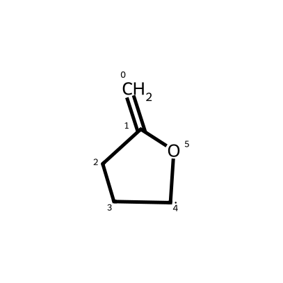 C=C1CC[CH]O1